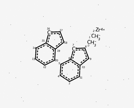 [CH3-].[CH3-].[Zr+4].c1ccc2[cH-]ccc2c1.c1ccc2[cH-]ccc2c1